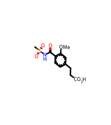 COc1cc(CCC(=O)O)ccc1C(=O)NS(C)(=O)=O